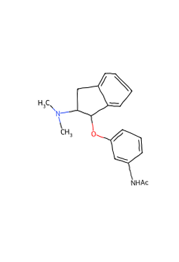 CC(=O)Nc1cccc(OC2c3ccccc3CC2N(C)C)c1